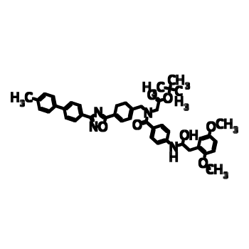 COc1ccc(OC)c(CC(O)Nc2ccc(C(=O)N(CC(=O)OC(C)(C)C)CC3=CC=C(c4nc(-c5ccc(-c6ccc(C)cc6)cc5)no4)CC3)cc2)c1